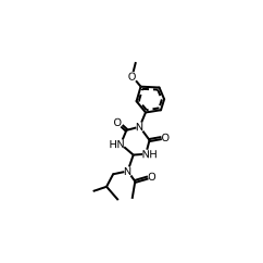 COc1cccc(N2C(=O)NC(N(CC(C)C)C(C)=O)NC2=O)c1